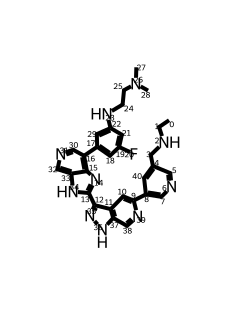 CCNCc1cncc(-c2cc3c(-c4nc5c(-c6cc(F)cc(NCCN(C)C)c6)cncc5[nH]4)n[nH]c3cn2)c1